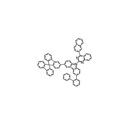 c1ccc(-c2ccccc2-c2ccc3c(c2)c2cc(-c4ccc5c(c4)-c4ccccc4C54c5ccccc5-c5ccccc54)ccc2n3-c2nc(-c3ccc4ccccc4c3)c3ccccc3n2)cc1